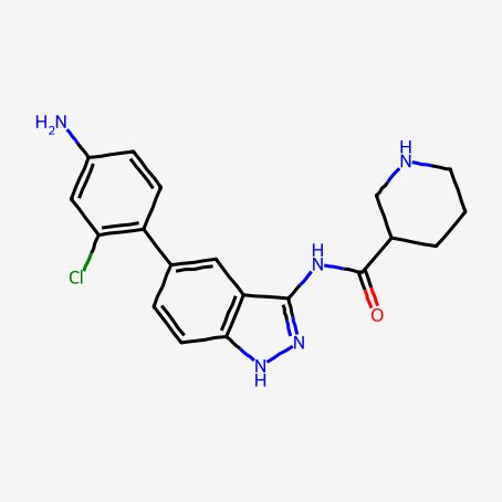 Nc1ccc(-c2ccc3[nH]nc(NC(=O)C4CCCNC4)c3c2)c(Cl)c1